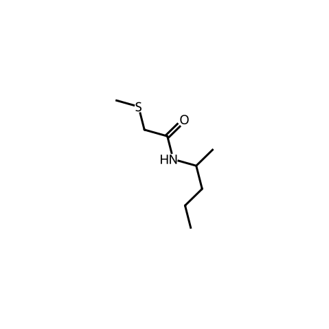 CCCC(C)NC(=O)CSC